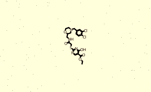 CCOC(=O)c1cnc(SCC(=O)NCC2CN(Cc3ccc(Cl)c(Cl)c3)CCO2)nc1O